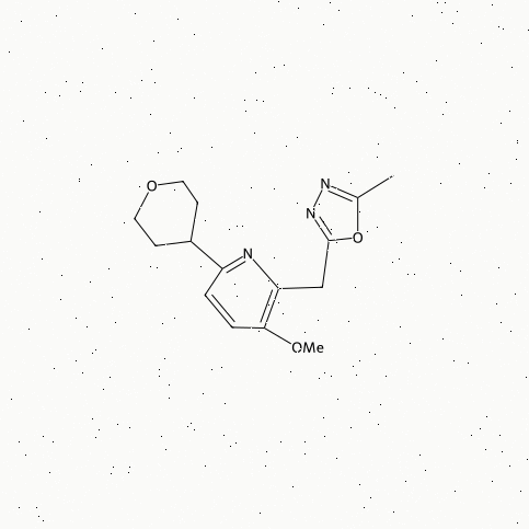 COc1ccc(C2CCOCC2)nc1Cc1nnc(C)o1